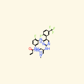 C=CC(=O)Nc1ccc(F)c(Nc2nc(N/C(C=N)=C/NC)ncc2-c2cc(C(F)(F)F)ccc2F)c1